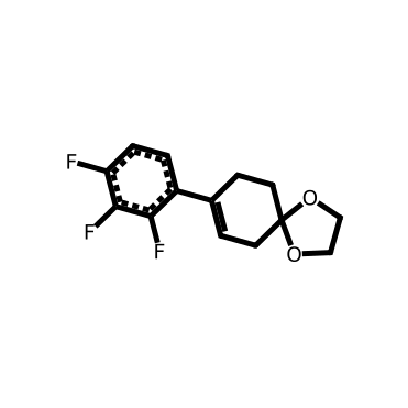 Fc1ccc(C2=CCC3(CC2)OCCO3)c(F)c1F